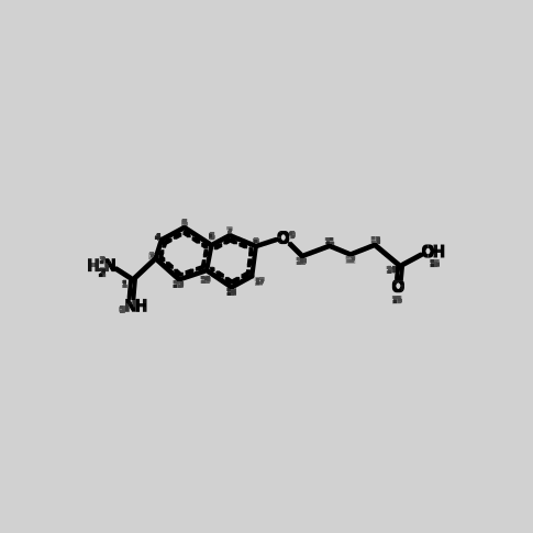 N=C(N)c1ccc2cc(OCCCCC(=O)O)ccc2c1